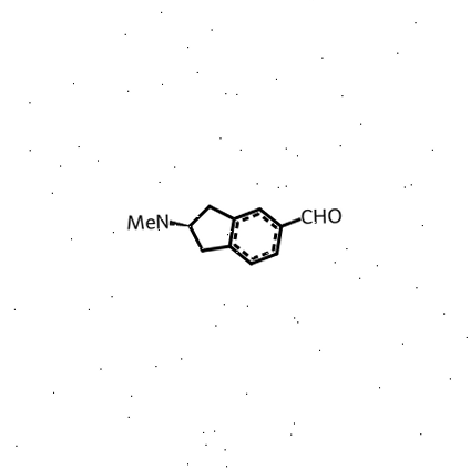 CN[C@@H]1Cc2ccc(C=O)cc2C1